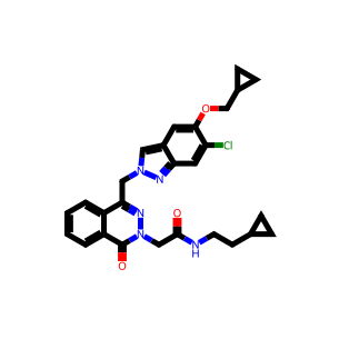 O=C(Cn1nc(Cn2cc3cc(OCC4CC4)c(Cl)cc3n2)c2ccccc2c1=O)NCCC1CC1